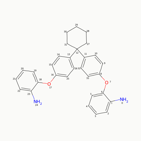 Nc1ccccc1Oc1ccc(C2(c3ccc(Oc4ccccc4N)cc3)CCCCC2)cc1